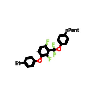 CCCCCc1ccc(OC(F)(F)c2c(F)c[c]c(Oc3ccc(CC)cc3)c2F)cc1